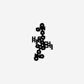 CC1(C)c2cc(-c3ccc(-c4nc5ccccc5n4-c4ccccc4)cc3)ccc2-c2cc3c(cc21)-c1c2ccccc2c(-c2ccc(-c4nc5ccccc5n4-c4ccccc4)cc2)c2cccc(c12)C3(C)C